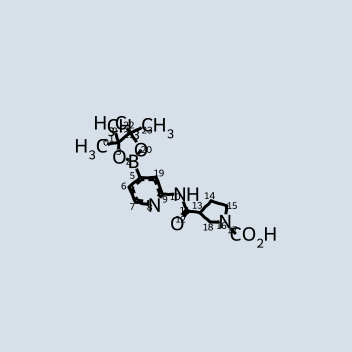 CC1(C)OB(c2ccnc(NC(=O)C3CCN(C(=O)O)C3)c2)OC1(C)C